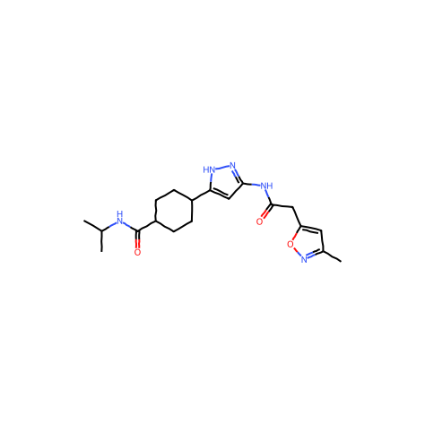 Cc1cc(CC(=O)Nc2cc(C3CCC(C(=O)NC(C)C)CC3)[nH]n2)on1